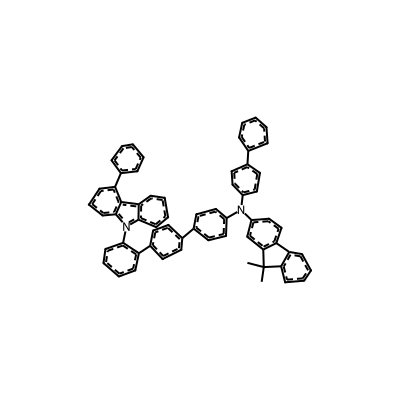 CC1(C)c2ccccc2-c2ccc(N(c3ccc(-c4ccccc4)cc3)c3ccc(-c4ccc(-c5ccccc5-n5c6ccccc6c6c(-c7ccccc7)cccc65)cc4)cc3)cc21